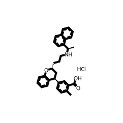 Cc1ccc([C@@H]2C[C@@H](CCCN[C@H](C)c3cccc4ccccc34)Oc3ccccc32)cc1C(=O)O.Cl